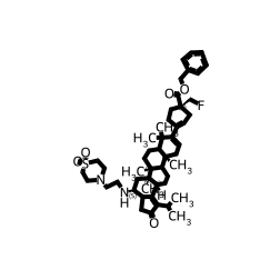 CC(C)C1=C2C(CC1=O)[C@@H](NCCN1CCS(=O)(=O)CC1)C[C@]1(C)[C@@H]2CCC2[C@@]3(C)CC=C(C4=CC[C@@](CF)(C(=O)OCc5ccccc5)CC4)C(C)(C)C3CC[C@]21C